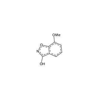 COc1cccc2c(O)noc12